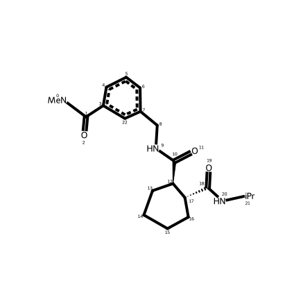 CNC(=O)c1cccc(CNC(=O)[C@@H]2CCCC[C@H]2C(=O)NC(C)C)c1